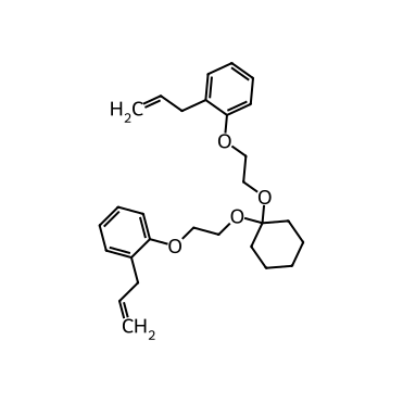 C=CCc1ccccc1OCCOC1(OCCOc2ccccc2CC=C)CCCCC1